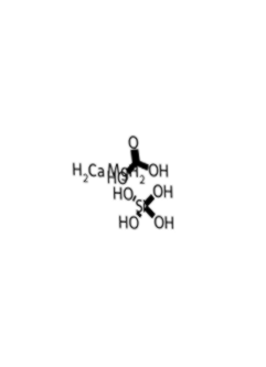 O=C(O)O.O[Si](O)(O)O.[CaH2].[MgH2]